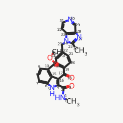 CNC(=O)c1[nH]c2cccc(C(=O)OC)c2c1C(=O)c1ccc(Cn2c(C)nc3cnccc32)cc1